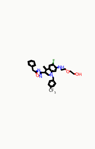 C=C1C(c2noc(Cc3ccccc3)n2)=CN(Cc2ccc(C(F)(F)F)cc2)c2cc(NCCOCCO)c(F)cc21